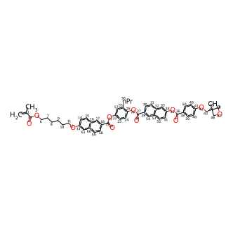 C=C(C)C(=O)OCCCCCCOc1ccc2cc(C(=O)Oc3ccc(OC(=O)c4ccc5cc(OC(=O)c6ccc(OCC7(C)COC7)cc6)ccc5c4)c(CCC)c3)ccc2c1